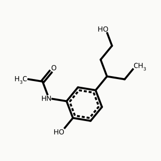 CCC(CCO)c1ccc(O)c(NC(C)=O)c1